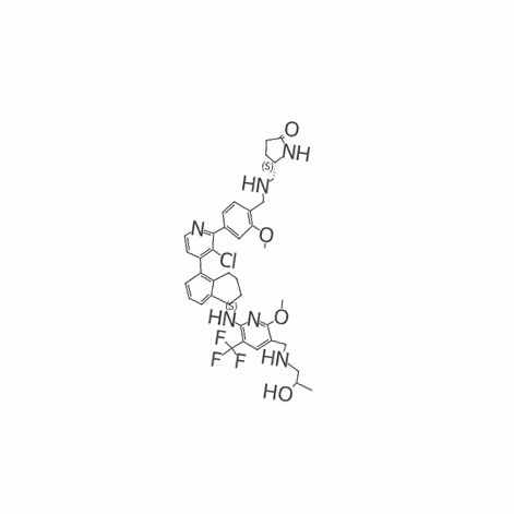 COc1cc(-c2nccc(-c3cccc4c3CCC[C@@H]4Nc3nc(OC)c(CNCC(C)O)cc3C(F)(F)F)c2Cl)ccc1CNC[C@@H]1CCC(=O)N1